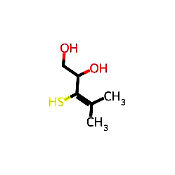 CC(C)=C(S)C(O)CO